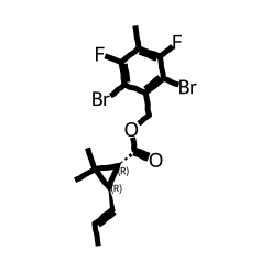 CC=C[C@@H]1[C@@H](C(=O)OCc2c(Br)c(F)c(C)c(F)c2Br)C1(C)C